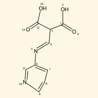 O=C(O)C(C=Nc1cccnc1)C(=O)O